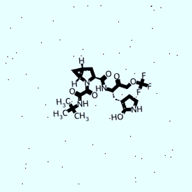 CC(C)(C)NC(=O)C(=O)N1[C@@H]2C[C@@H]2C[C@H]1C(=O)N[C@@H](C[C@@H]1CCNC1O)C(=O)COC(F)(F)F